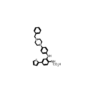 O=C(O)Nc1ccc(-c2cccs2)cc1Nc1ccc(N2CCN(Cc3ccccc3)CC2)cc1